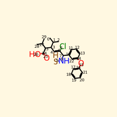 CC(C)C(C=C(Cl)C(NS)c1cccc(Oc2ccccc2)c1)C(C(=O)O)C(C)C